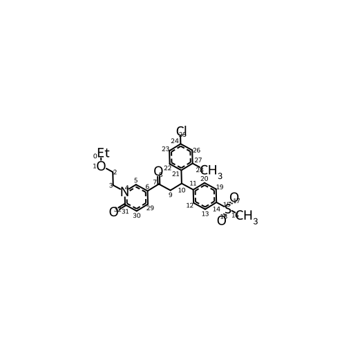 CCOCCn1cc(C(=O)CC(c2ccc(S(C)(=O)=O)cc2)c2ccc(Cl)cc2C)ccc1=O